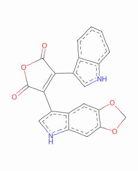 O=C1OC(=O)C(c2c[nH]c3cc4c(cc23)OCO4)=C1c1c[nH]c2ccccc12